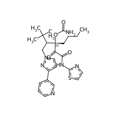 CCCC[C@@](OC(N)=O)(C(=O)C(=O)Nc1nccs1)C(Cn1ccc(-c2cccnc2)n1)C(C)(C)C